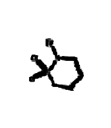 CCN1CCCCS1(=O)=O